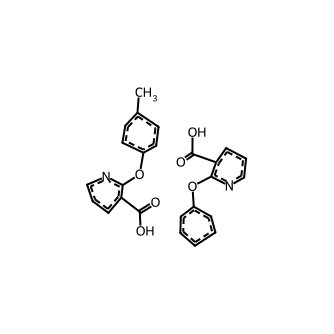 Cc1ccc(Oc2ncccc2C(=O)O)cc1.O=C(O)c1cccnc1Oc1ccccc1